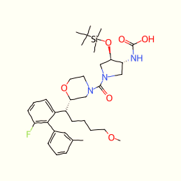 COCCCCC(c1cccc(F)c1-c1cccc(C)c1)[C@H]1CN(C(=O)N2C[C@@H](NC(=O)O)[C@H](O[Si](C)(C)C(C)(C)C)C2)CCO1